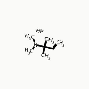 C=CC(C)(C)N(C)C.F